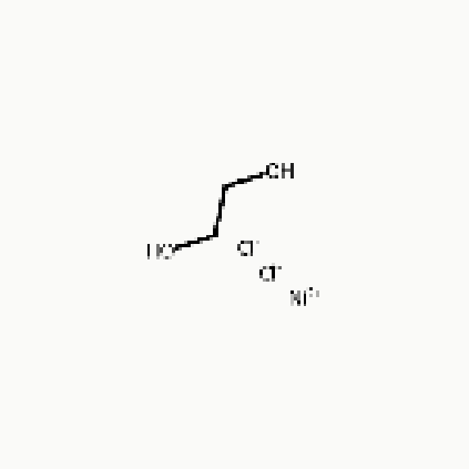 OCCO.[Cl-].[Cl-].[Ni+2]